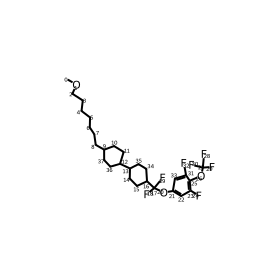 COCCCCCCCC1CCC(C2CCC(C(F)(F)Oc3cc(F)c(OC(F)(F)F)c(F)c3)CC2)CC1